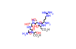 N=C(N)NCCC[C@H](N)C(=O)N[C@@H](CC(=O)O)C(=O)N[C@@H](CO)C(=O)N[C@@H](CO)C(=O)N[C@@H](CC(N)=O)C(=O)N[C@@H](CO)C(=O)O